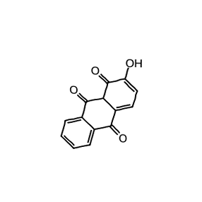 O=C1C2=CC=C(O)C(=O)C2C(=O)c2ccccc21